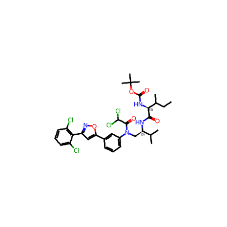 CCC(C)[C@H](NC(=O)OC(C)(C)C)C(=O)N[C@H](CN(C(=O)C(Cl)Cl)c1cccc(-c2cc(-c3c(Cl)cccc3Cl)no2)c1)C(C)C